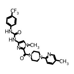 Cc1ccc(N2CCN(C(=O)c3nc(NC(=O)Nc4ccc(C(F)(F)F)cc4)cn3C)CC2)nc1